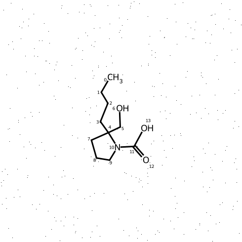 CCCCC1(CO)CCCN1C(=O)O